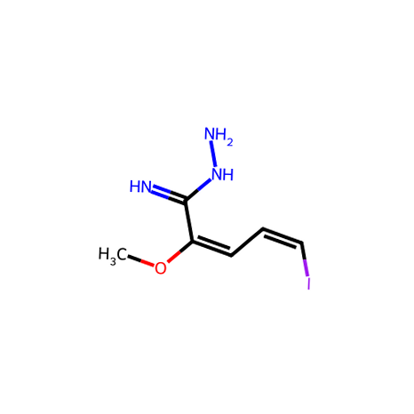 CO/C(=C/C=C\I)C(=N)NN